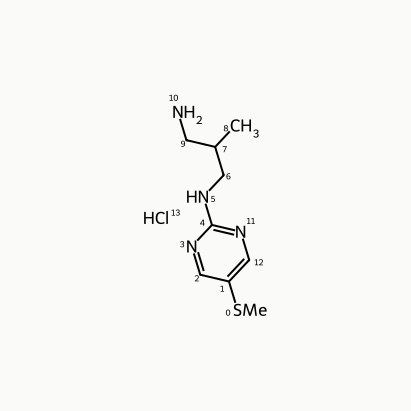 CSc1cnc(NCC(C)CN)nc1.Cl